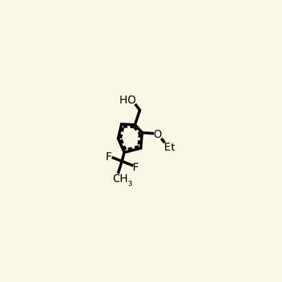 CCOc1cc(C(C)(F)F)ccc1CO